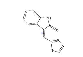 O=C1Nc2ccccc2/C1=C/c1nccs1